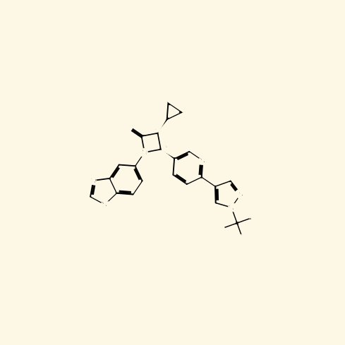 O=C1[C@@H](C2CC2)[C@@H](c2ccc(-c3cnn(C(F)(F)F)c3)nc2)N1c1ccc2[nH]cnc2c1